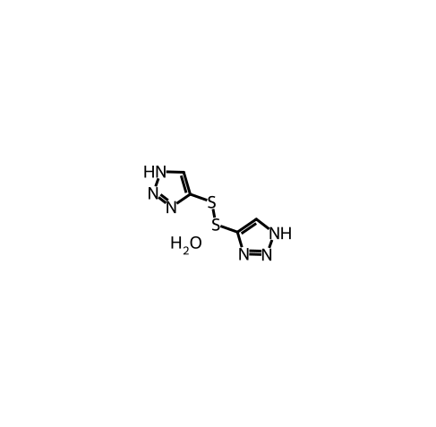 O.c1[nH]nnc1SSc1c[nH]nn1